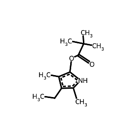 CCc1c(C)[nH]c(OC(=O)C(C)(C)C)c1C